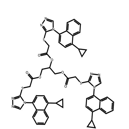 O=C(CSc1nncn1-c1ccc(C2CC2)c2ccccc12)OCC(COC(=O)CSc1nncn1-c1ccc(C2CC2)c2ccccc12)OC(=O)CSc1nncn1-c1ccc(C2CC2)c2ccccc12